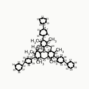 Cc1c(C)c(-c2ccc(-c3ccccc3)cc2)c(C)c2c1B1c3c(C)c(C)c(-c4ccc(-c5ccccc5)cc4)c(C)c3Cc3c(C)c(-c4ccc(-c5ccccc5)cc4)c(C)c(c31)C2